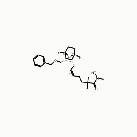 CN(O)C(=O)C(C)(C)CC/C=C\C[C@@H]1[C@H](COCc2ccccc2)[C@@H]2CC[C@H]1O2